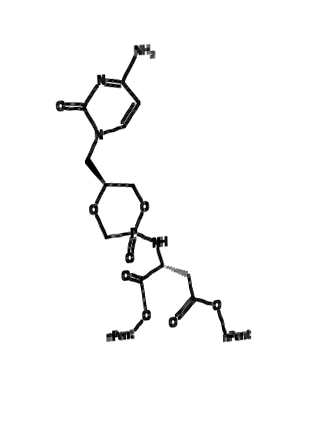 CCCCCOC(=O)C[C@@H](NP1(=O)CO[C@@H](Cn2ccc(N)nc2=O)CO1)C(=O)OCCCCC